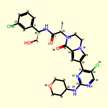 C[C@@H](C(=O)N[C@H](CO)c1cccc(Cl)c1)N1CCn2cc(-c3nc(NC4CCOCC4)ncc3Cl)cc2C1=O